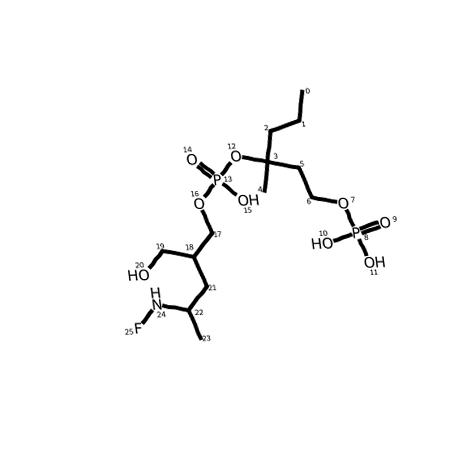 CCCC(C)(CCOP(=O)(O)O)OP(=O)(O)OCC(CO)CC(C)NF